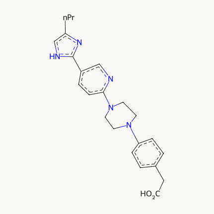 CCCc1c[nH]c(-c2ccc(N3CCN(c4ccc(CC(=O)O)cc4)CC3)nc2)n1